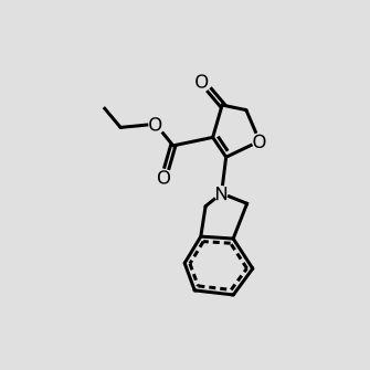 CCOC(=O)C1=C(N2Cc3ccccc3C2)OCC1=O